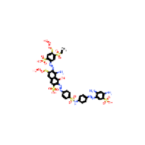 C=CS(=O)(=O)c1cc(/N=N/c2c(SOOO)cc3cc(S(=O)(=O)O)c(/N=N/c4ccc(S(=O)(=O)Nc5ccc(/N=N/c6cc(S(=O)(=O)O)c(N)cc6N)cc5)cc4)c(O)c3c2N)c(S(=O)(=O)O)cc1SOOO